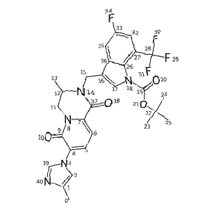 Cc1cn(-c2ccc3n(c2=O)CC(C)N(Cc2cn(C(=O)OC(C)(C)C)c4c(C(F)(F)F)cc(F)cc24)C3=O)cn1